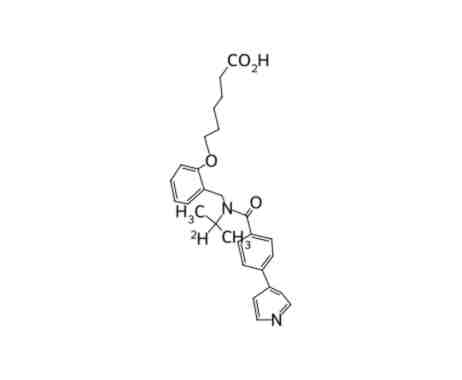 [2H]C(C)(C)N(Cc1ccccc1OCCCCCC(=O)O)C(=O)c1ccc(-c2ccncc2)cc1